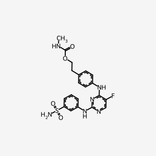 CNC(=O)OCCc1ccc(Nc2nc(Nc3cccc(S(N)(=O)=O)c3)ncc2F)cc1